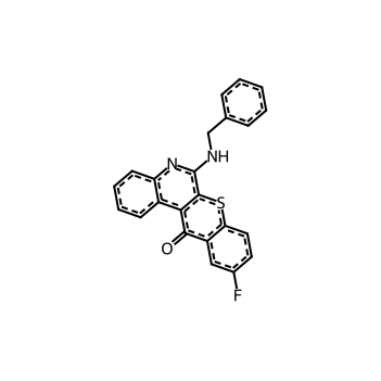 O=c1c2cc(F)ccc2sc2c(NCc3ccccc3)nc3ccccc3c12